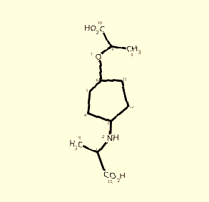 CC(NC1CCC(OC(C)C(=O)O)CC1)C(=O)O